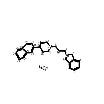 Cl.c1ccc2c(c1)CN(CCCN1CCC(c3ccc4ccccc4c3)CC1)C2